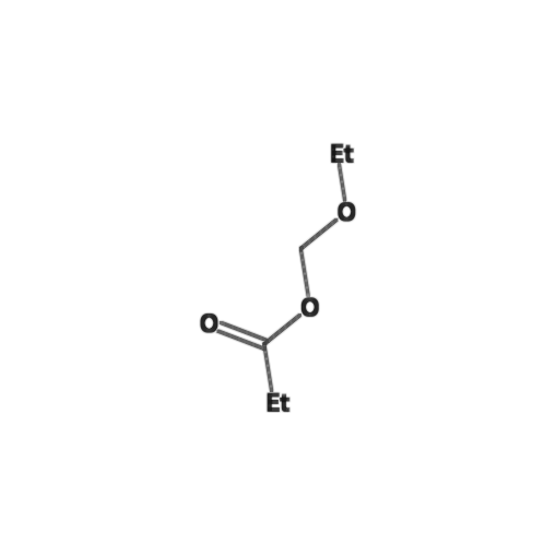 CCOCOC(=O)CC